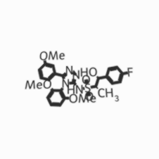 COc1cccc(-c2nnc(NS(=O)(=O)[C@@H](C)[C@@H](O)c3ccc(F)cc3)n2-c2c(OC)cccc2OC)c1